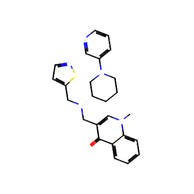 Cn1cc(CN(Cc2ccns2)[C@H]2CCCN(c3cccnc3)C2)c(=O)c2ccccc21